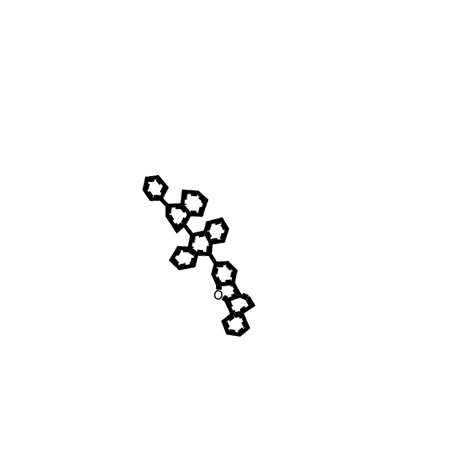 c1ccc(-c2ccc(-c3c4ccccc4c(-c4ccc5c(c4)oc4c6ccccc6ccc54)c4ccccc34)c3ccccc23)cc1